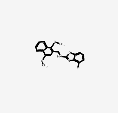 COc1cc(CNc2nc3c(Cl)cccc3o2)c(OC)c2ccccc12